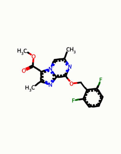 COC(=O)c1c(C)nc2c(OCc3c(F)cccc3F)nc(C)cn12